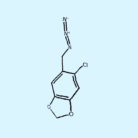 [N-]=[N+]=NCc1cc2c(cc1Cl)OCO2